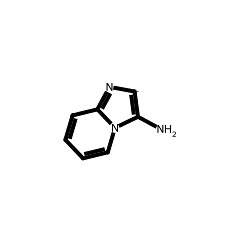 Nc1[c]nc2ccccn12